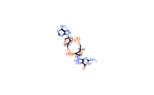 Nc1nc2c(c(=O)[nH]1)NNN2[C@@H]1O[C@@H]2COP(=O)(S)O[C@@H]3[C@@H](COP(=O)(S)O[C@H]1[C@@H]2F)OC[C@@]3(F)n1nnc2c(N)ncnc21